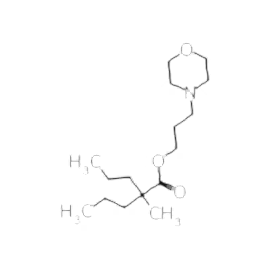 CCCC(C)(CCC)C(=O)OCCCN1CCOCC1